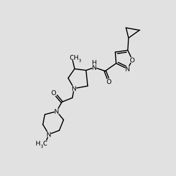 CC1CN(CC(=O)N2CCN(C)CC2)CC1NC(=O)c1cc(C2CC2)on1